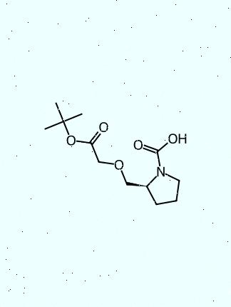 CC(C)(C)OC(=O)COC[C@@H]1CCCN1C(=O)O